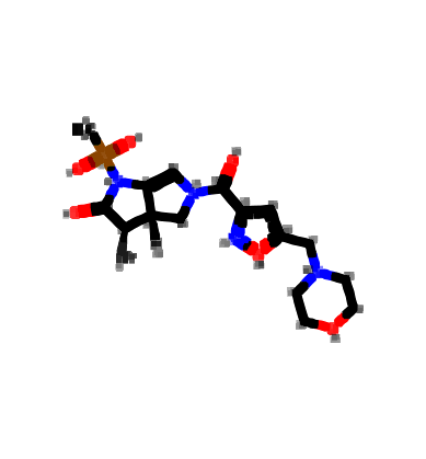 CCC[C@H]1C(=O)N(S(C)(=O)=O)C2=CN(C(=O)c3cc(CN4CCOCC4)on3)C[C@@H]21